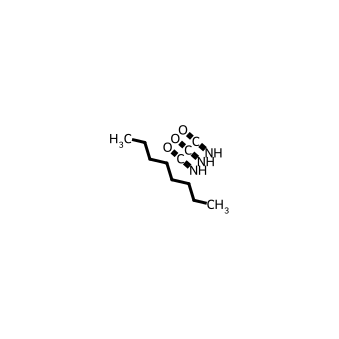 CCCCCCCC.N=C=O.N=C=O.N=C=O